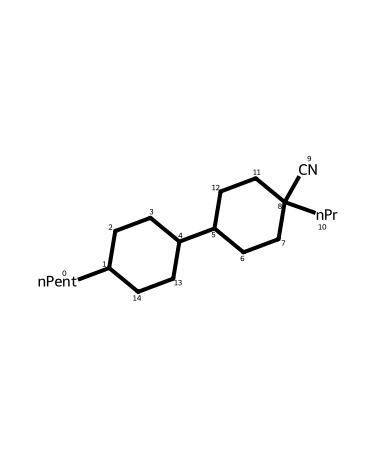 CCCCCC1CCC(C2CCC(C#N)(CCC)CC2)CC1